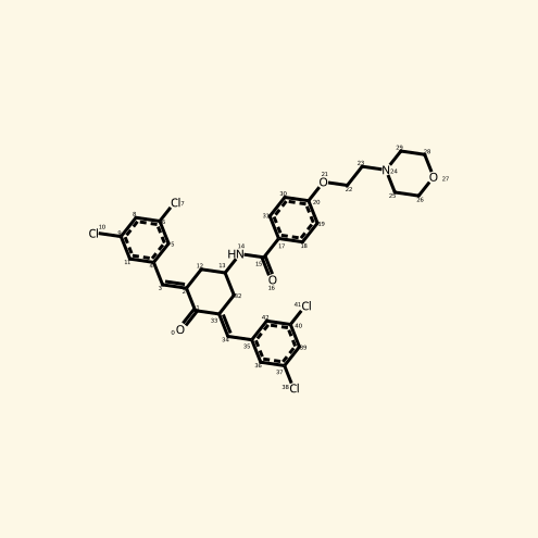 O=C1/C(=C/c2cc(Cl)cc(Cl)c2)CC(NC(=O)c2ccc(OCCN3CCOCC3)cc2)C/C1=C\c1cc(Cl)cc(Cl)c1